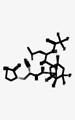 CC(C)C[C@@H](NC(=O)C(F)(F)F)C(=O)N1[C@@H]2CC[C@H]([C@@H]1C(=O)N[C@@H](C#N)C[C@@H]1CCNC1=O)C(F)(F)C2